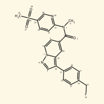 CN(C(=O)c1ccn2ncc(-c3ccc(CF)cc3)c2c1)c1ccc(S(C)(=O)=O)cn1